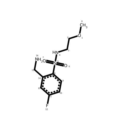 COCCNS(=O)(=O)c1ccc(F)cc1CN